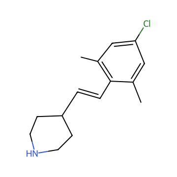 Cc1cc(Cl)cc(C)c1/C=C/C1CCNCC1